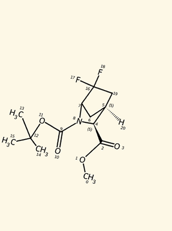 COC(=O)[C@@H]1[C@H]2CC(N1C(=O)OC(C)(C)C)C(F)(F)C2